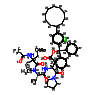 COCC(C)(NC(=O)C(F)(F)F)C(=O)N(C)[C@H](C(=O)N[C@@H](CC(=O)OC(c1ccccc1)(c1ccc(C2CCCCCCCCC2)cc1)c1ccccc1Cl)C(=O)N1CCCC1)C(C)C